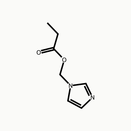 CCC(=O)OCn1ccnc1